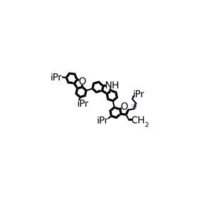 C=Cc1c(/C=C\CC(C)C)oc2c(-c3ccc4[nH]c5ccc(-c6cc(C(C)C)cc7c6oc6ccc(C(C)C)cc67)cc5c4c3)cc(C(C)C)cc12